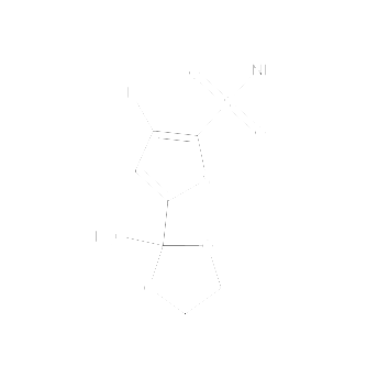 CC1(c2cc(F)c(S(N)(=O)=O)s2)OCCO1